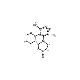 Oc1nncc(N2CCOCC2)c1N1CCOCC1.[Cl-].[H+]